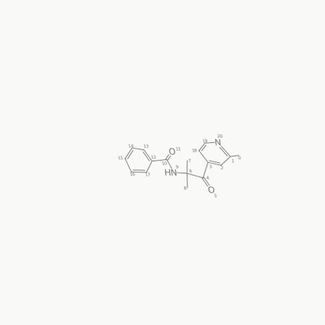 Cc1cc(C(=O)C(C)(C)NC(=O)c2ccccc2)ccn1